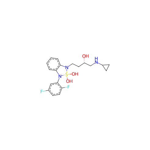 O[C@@H](CCN1c2ccccc2N(c2cc(F)ccc2F)S1(O)O)CNC1CC1